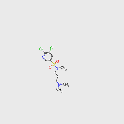 CN(C)CCCN(C)S(=O)(=O)c1cnc(Cl)c(Cl)c1